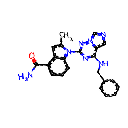 Cc1cc2c(C(N)=O)cccc2n1-c1nc(NCc2ccccc2)c2cncn2n1